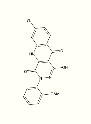 COc1ccccc1-n1nc(O)c2c(=O)c3ccc(Cl)cc3[nH]c2c1=O